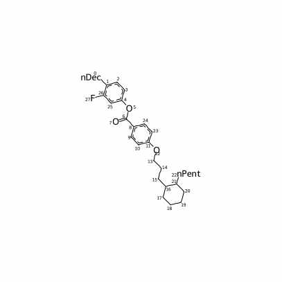 CCCCCCCCCCc1ccc(OC(=O)c2ccc(OCCCC3CCCCC3CCCCC)cc2)cc1F